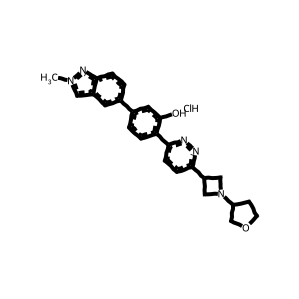 Cl.Cn1cc2cc(-c3ccc(-c4ccc(C5CN(C6CCOC6)C5)nn4)c(O)c3)ccc2n1